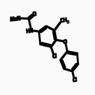 CNC(=O)Nc1cc(C)c(Oc2ccc(Cl)cc2)c(Cl)c1